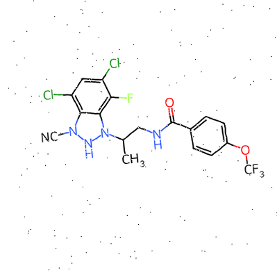 CC(CNC(=O)c1ccc(OC(F)(F)F)cc1)N1NN(C#N)c2c(Cl)cc(Cl)c(F)c21